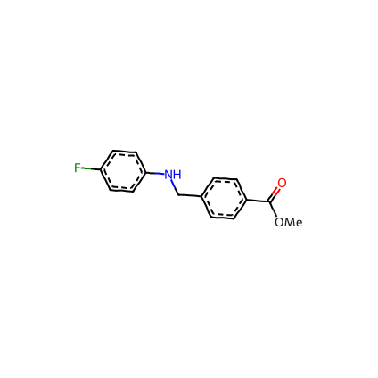 COC(=O)c1ccc(CNc2ccc(F)cc2)cc1